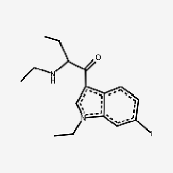 CCNC(CC)C(=O)c1cn(CC)c2cc(I)ccc12